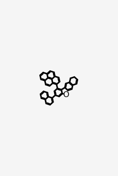 C1=Cc2cc3oc4cc(-c5cccc6ccccc56)cc(-c5ccc6ccc7cccc8ccc5c6c78)c4c3cc2CC1